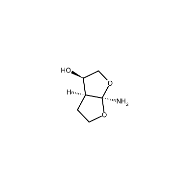 N[C@]12OCC[C@H]1[C@@H](O)CO2